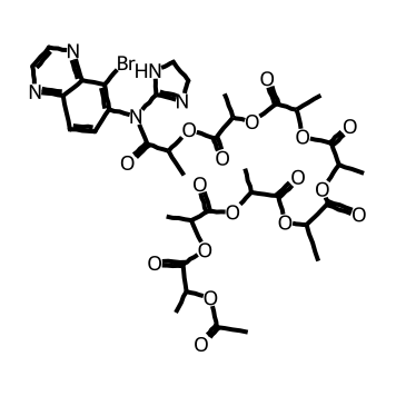 CC(=O)OC(C)C(=O)OC(C)C(=O)OC(C)C(=O)OC(C)C(=O)OC(C)C(=O)OC(C)C(=O)OC(C)C(=O)OC(C)C(=O)N(C1=NCCN1)c1ccc2nccnc2c1Br